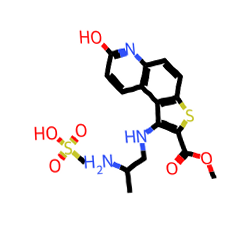 COC(=O)c1sc2ccc3nc(O)ccc3c2c1NCC(C)N.CS(=O)(=O)O